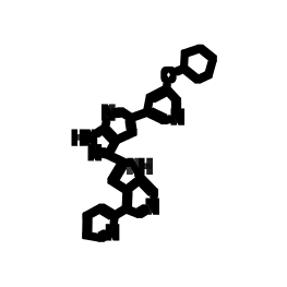 c1ccc(-c2cncc3[nH]c(-c4n[nH]c5ncc(-c6cncc(OC7CCCCC7)c6)cc45)cc23)nc1